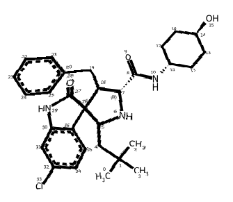 CC(C)(C)CC1N[C@@H](C(=O)N[C@H]2CC[C@H](O)CC2)C(Cc2ccccc2)C12C(=O)Nc1cc(Cl)ccc12